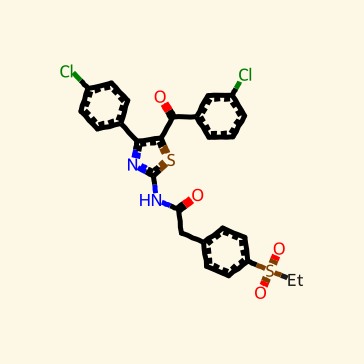 CCS(=O)(=O)c1ccc(CC(=O)Nc2nc(-c3ccc(Cl)cc3)c(C(=O)c3cccc(Cl)c3)s2)cc1